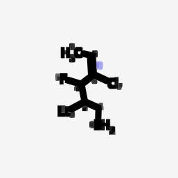 BCC(CC)C(F)/C(Cl)=C\C